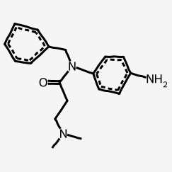 CN(C)CCC(=O)N(Cc1ccccc1)c1ccc(N)cc1